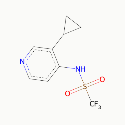 O=S(=O)(Nc1ccncc1C1CC1)C(F)(F)F